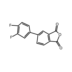 O=C1OC(=O)c2cc(-c3ccc(F)c(F)c3)ccc21